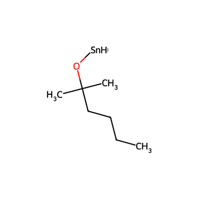 CCCCC(C)(C)[O][SnH]